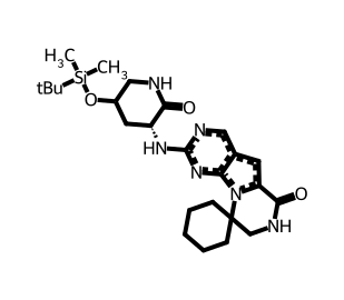 CC(C)(C)[Si](C)(C)OC1CNC(=O)[C@H](Nc2ncc3cc4n(c3n2)C2(CCCCC2)CNC4=O)C1